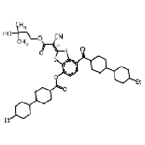 CCC1CCC(C2CCC(C(=O)Oc3ccc(C(=O)C4CCC(C5CCC(CC)CC5)CC4)c4c3S/C(=C(/C#N)C(=O)OCCC(C)(C)O)S4)CC2)CC1